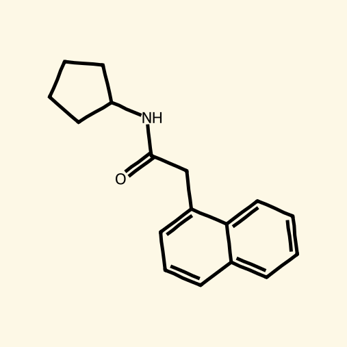 O=C(Cc1cccc2ccccc12)NC1CCCC1